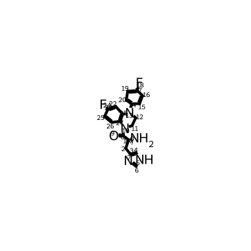 N[C@H](Cc1c[nH]cn1)C(=O)N1CCN(c2ccc(F)cc2)c2cc(F)ccc21